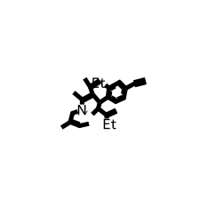 C#Cc1ccc(C(/C(C(=C)C)=C(/C)N(C)C/C(C)=C\C)C(C)C(=C)CC)c(CC)c1